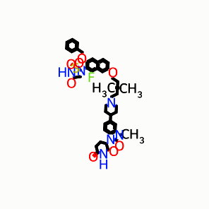 Cn1c(=O)n(C2CCC(=O)NC2=O)c2ccc(C3CCN(CCC(C)(C)CCOc4ccc5cc(OCc6ccccc6)c(N6CC(=O)NS6(=O)=O)c(F)c5c4)CC3)cc21